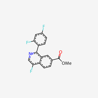 COC(=O)c1ccc2c(F)cnc(-c3ccc(F)cc3F)c2c1